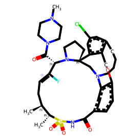 C[C@@H]1[C@@H](C)C/C=C(\F)[C@H](C(=O)N2CCN(C)CC2)N2CCC[C@@]23CN2CCCCc4cc(Cl)cc3c4COc3ccc(cc32)C(=O)NS1(=O)=O